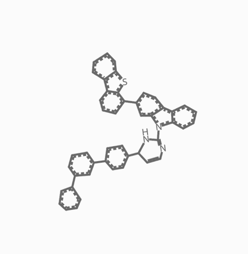 C1=CC(c2ccc(-c3cccc(-c4ccccc4)c3)cc2)NC(n2c3ccccc3c3ccc(-c4cccc5c4sc4ccccc45)cc32)=N1